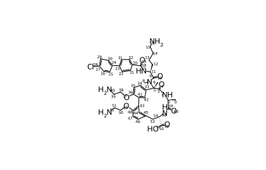 C[C@@H]1NC(=O)[C@@](C)(N(C)C(=O)[C@H](CCCCN)NC(=O)c2ccc(-c3ccc(Cl)cc3)cc2)c2ccc(OCCN)c(c2)-c2cc(ccc2OCCN)C[C@@H](C(=O)O)NC1=O